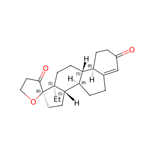 CC[C@]12CC[C@H]3[C@@H](CCC4=CC(=O)CC[C@@H]43)[C@@H]1CC[C@@]21OCCC1=O